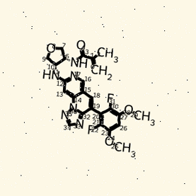 C=C(C)C(=O)N[C@H]1COC[C@H]1Nc1cc2c(cn1)cc(-c1c(F)c(OC)cc(OC)c1F)c1ncnn12